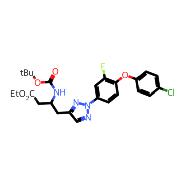 CCOC(=O)CC(Cc1cnn(-c2ccc(Oc3ccc(Cl)cc3)c(F)c2)n1)NC(=O)OC(C)(C)C